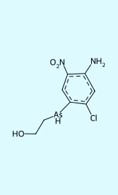 Nc1cc(Cl)c([AsH]CCO)cc1[N+](=O)[O-]